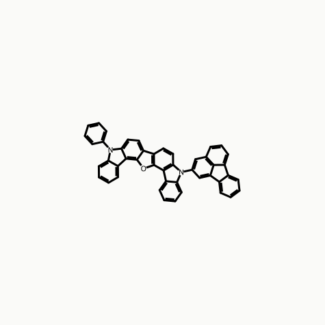 c1ccc(-n2c3ccccc3c3c4oc5c(ccc6c5c5ccccc5n6-c5cc6c7c(cccc7c5)-c5ccccc5-6)c4ccc32)cc1